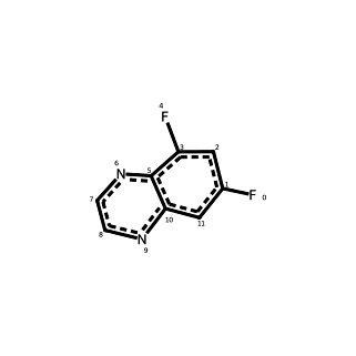 Fc1cc(F)c2nccnc2c1